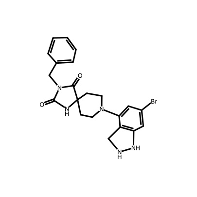 O=C1NC2(CCN(c3cc(Br)cc4c3CNN4)CC2)C(=O)N1Cc1ccccc1